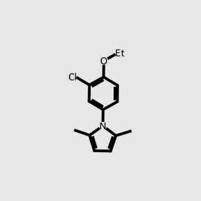 CCOc1ccc(-n2c(C)ccc2C)cc1Cl